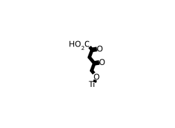 O=C(C[O][Ti])CC(=O)C(=O)O